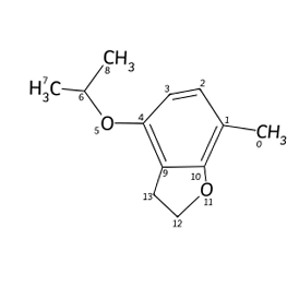 Cc1ccc(OC(C)C)c2c1OCC2